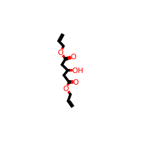 C=CCOC(=O)CC(O)CC(=O)OCC=C